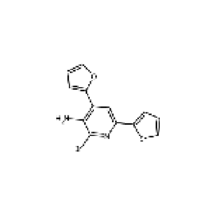 Nc1c(-c2ccco2)cc(-c2cccs2)nc1Br